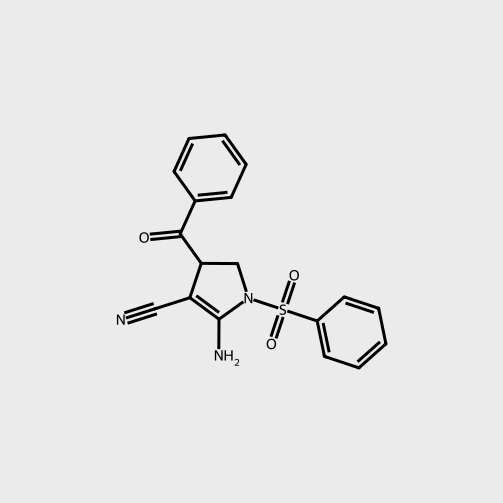 N#CC1=C(N)N(S(=O)(=O)c2ccccc2)CC1C(=O)c1ccccc1